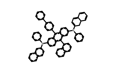 C1=CC2=CC=C(N(c3ccccc3)c3ccc4c(-c5ccc(-c6ccccc6)cc5)c5cc(N(c6ccccc6)c6ccc7ccccc7c6)ccc5c(-c5cccc6ccccc56)c4c3)CC2C=C1